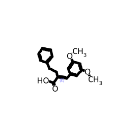 COc1cc(/C=C(\CCc2ccccc2)C(=O)O)cc(OC)c1